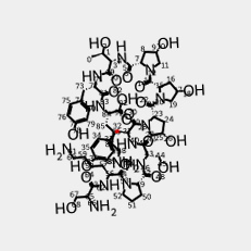 C[C@@H](O)[C@H](NC(=O)[C@@H]1C[C@@H](O)CN1C(=O)[C@@H]1C[C@@H](O)CN1C(=O)[C@@H]1C[C@@H](O)CN1C(=O)[C@H](Cc1ccc(O)cc1)NC(=O)[C@H](CO)NC(=O)[C@@H]1CCCN1C(=O)[C@H](CCCCN)NC(=O)[C@@H](N)CO)C(=O)N[C@@H](Cc1ccc(O)cc1)C(=O)N[C@@H](CCCCN)C(=O)O